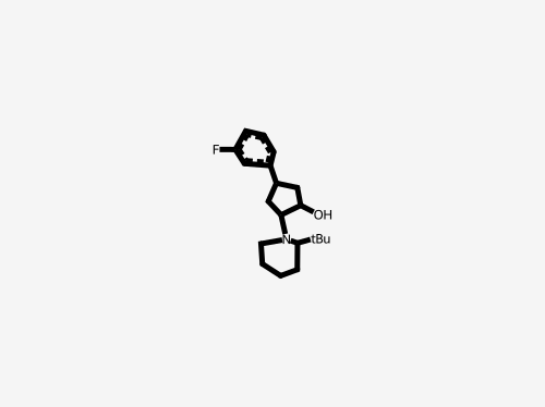 CC(C)(C)C1CCCCN1C1CC(c2cccc(F)c2)CC1O